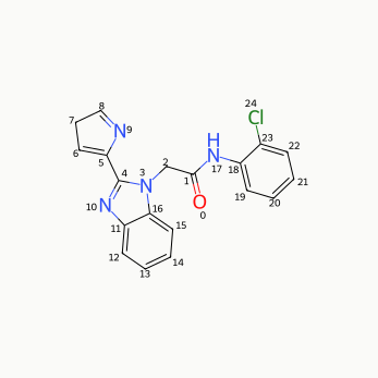 O=C(Cn1c(C2=CCC=N2)nc2ccccc21)Nc1ccccc1Cl